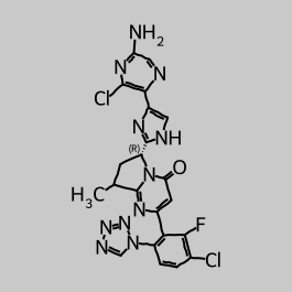 CC1C[C@H](c2nc(-c3ncc(N)nc3Cl)c[nH]2)n2c1nc(-c1c(-n3cnnn3)ccc(Cl)c1F)cc2=O